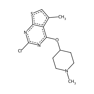 Cc1csc2nc(Cl)nc(OC3CCN(C)CC3)c12